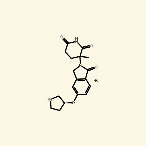 CC1(N2Cc3cc(O[C@H]4CCNC4)ccc3C2=O)CCC(=O)NC1=O.Cl